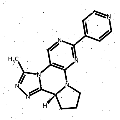 Cc1nnc2n1-c1cnc(-c3ccncc3)nc1N1CCC[C@H]21